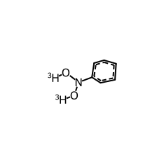 [3H]ON(O[3H])c1ccccc1